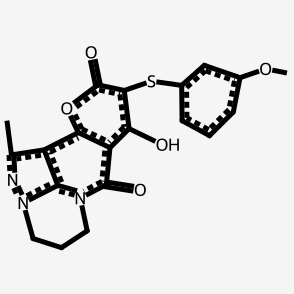 COc1cccc(Sc2c(O)c3c(=O)n4c5c(c(C)nn5CCC4)c3oc2=O)c1